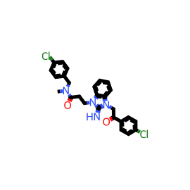 CN(Cc1ccc(Cl)cc1)C(=O)CCn1c(=N)n(CC(=O)c2ccc(Cl)cc2)c2ccccc21